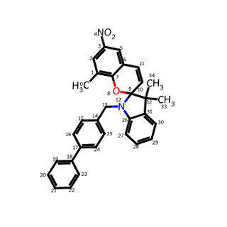 Cc1cc([N+](=O)[O-])cc2c1OC1(C=C2)N(Cc2ccc(-c3ccccc3)cc2)c2ccccc2C1(C)C